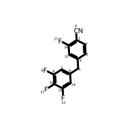 N#Cc1ccc(Cc2cc(F)c(F)c(F)c2)cc1F